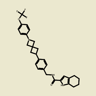 O=C(NCc1ccc(C2CC3(C2)CN(c2ccc(OC(F)(F)F)cc2)C3)cc1)c1cc2c([nH]1)CCCC2